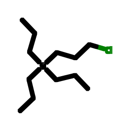 CCC[Si](CCC)(CCC)CCCCl